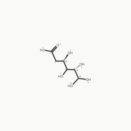 O=C(O)C[C@@H](O)C(O)[C@H](O)C(O)O